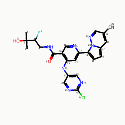 CC(C)(O)C(F)CNC(=O)c1cnc(-c2ccc3cc(C#N)cnn23)cc1Nc1cnc(Cl)nc1